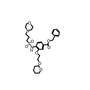 O=C(OCc1ccccc1)c1ccc(NS(=O)(=O)CCCN2CCOCC2)c(OCCOC2CCCCO2)c1